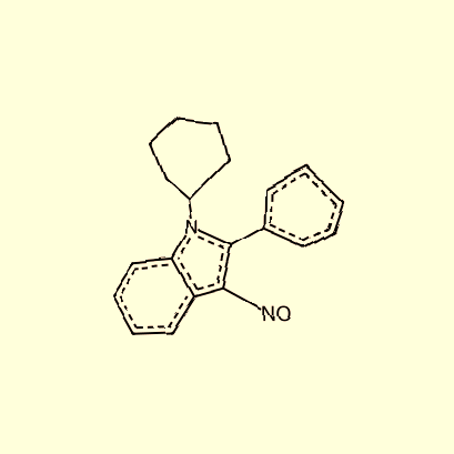 O=Nc1c(-c2ccccc2)n(C2CCCCC2)c2ccccc12